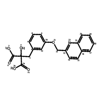 O=C(O)C(O)(Cc1cccc(OCc2ccc3ccccc3n2)c1)C(=O)O